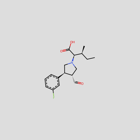 CC[C@H](C)[C@H](C(=O)O)N1C[C@H](c2cccc(F)c2)[C@@H](C=O)C1